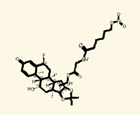 CC1(C)O[C@@H]2C[C@H]3[C@@H]4C[C@H](F)C5=CC(=O)C=C[C@]5(C)[C@H]4[C@@H](O)C[C@]3(C)[C@]2(C(=O)COC(=O)CNC(=O)CCCCCO[N+](=O)[O-])O1